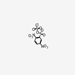 O=[N+]([O-])c1ccc([N+](=O)[O-])c(S(=O)(=O)OS(=O)(=O)Cl)c1